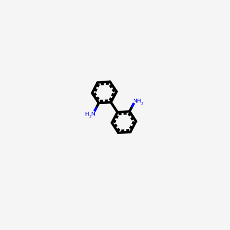 Nc1[c]cccc1-c1ccccc1N